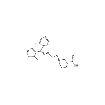 Cc1ccccc1C(=NOCCN1CCC[C@@H](C(=O)O)C1)c1ccccc1C